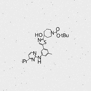 Cc1cc(Nc2nccc(C(C)C)n2)cc(-c2cnc([C@@]3(O)CCCN(C(=O)OC(C)(C)C)CC3)s2)c1